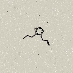 C=CCn1ccnc1CCC